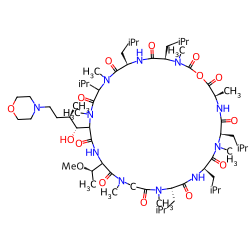 CO[C@H](C)C1NC(=O)C([C@H](O)[C@H](C)CCN2CCOCC2)N(C)C(=O)C(C(C)C)N(C)C(=O)[C@@H](CC(C)C)NC(=O)[C@@H](CC(C)C)N(C)C(=O)OC(=O)[C@@H](C)NC(=O)[C@@H](CC(C)C)N(C)C(=O)[C@@H](CC(C)C)NC(=O)[C@H](CC(C)C)N(C)C(=O)CN(C)C1=O